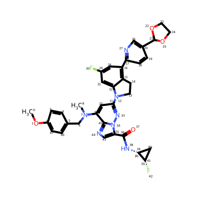 COc1ccc(CN(C)c2cc(N3CCc4c(-c5ccc(C6OCCO6)cn5)cc(F)cc43)nn3c(C(=O)N[C@@H]4C[C@@H]4F)cnc23)cc1